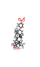 COC(=O)c1ccc(C2=CC(F)[C@]3(C)[C@H]4CC[C@@H]5[C@H]6[C@H](C(C)C)CC[C@]6(C(=O)O)CC[C@@]5(C)[C@]4(C)CC[C@H]3C2(C)C)cc1